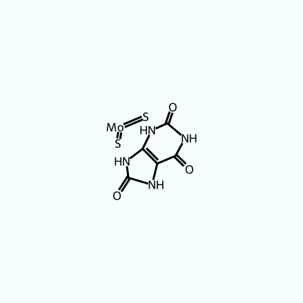 O=c1[nH]c(=O)c2[nH]c(=O)[nH]c2[nH]1.[S]=[Mo]=[S]